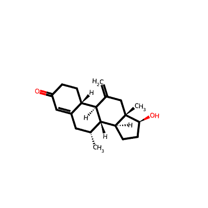 C=C1C[C@]2(C)[C@@H](O)CC[C@H]2[C@H]2[C@H]1[C@H]1CCC(=O)C=C1C[C@H]2C